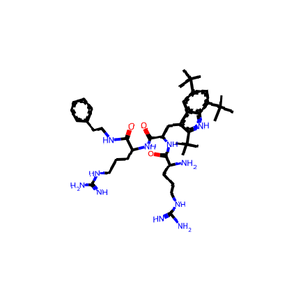 CC(C)(C)c1cc(C(C)(C)C)c2[nH]c(C(C)(C)C)c(CC(NC(=O)C(N)CCCNC(=N)N)C(=O)NC(CCCNC(=N)N)C(=O)NCCc3ccccc3)c2c1